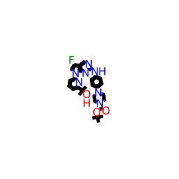 CC(C)(C)OC(=O)N1CCN(c2ccc(Nc3ncc4c(F)cn(-c5cccc(C(C)(C)O)n5)c4n3)cc2)CC1